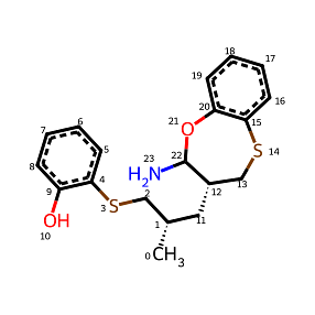 C[C@H](CSc1ccccc1O)C[C@H]1CSc2ccccc2OC1N